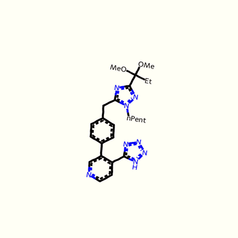 CCCCCn1nc(C(CC)(OC)OC)nc1Cc1ccc(-c2cnccc2-c2nnn[nH]2)cc1